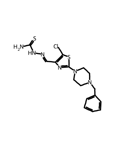 NC(=S)N/N=C/c1nc(N2CCN(Cc3ccccc3)CC2)sc1Cl